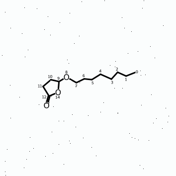 CCCCCCCCOC1CCC(=O)O1